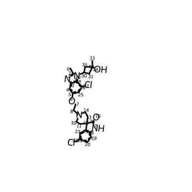 Cc1nc2cc(OCCN3CCC4(CC3)C(=O)Nc3ccc(Cl)cc34)cc(Cl)c2n1C1CC(C)(O)C1